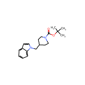 CC(C)(C)OC(=O)N1CCC(Cn2ccc3ccccc32)CC1